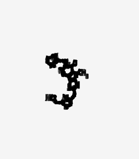 Cn1c2nc(Cc3csc(CO)n3)sc2c2cnn(Cc3nccs3)c(=O)c21